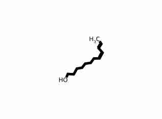 CC=C/C=C\CCCCCCCO